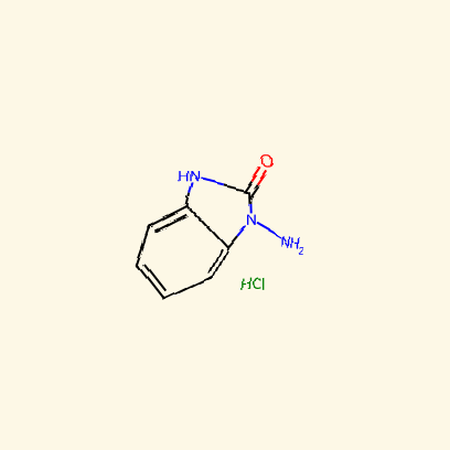 Cl.Nn1c(=O)[nH]c2ccccc21